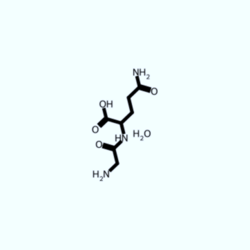 NCC(=O)NC(CCC(N)=O)C(=O)O.O